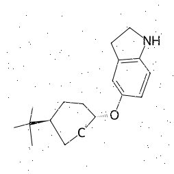 CC(C)(C)[C@H]1CC[C@H](Oc2ccc3c(c2)CCN3)CC1